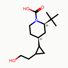 CC(C)(C)[C@H]1C[C@@H](C2CC2CCO)CCN1C(=O)O